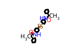 CC(C(=O)Nc1ccc(SSc2ccc(NC(=O)C(C)c3ccccc3)cc2)cc1)c1ccccc1